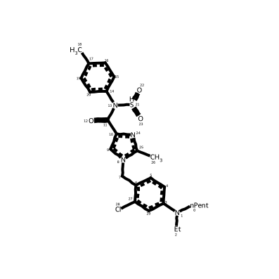 CCCCCN(CC)c1ccc(Cn2cc(C(=O)N(c3ccc(C)cc3)[SH](=O)=O)nc2C)c(Cl)c1